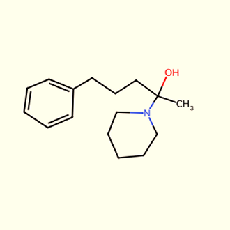 CC(O)(CCCc1ccccc1)N1CCCCC1